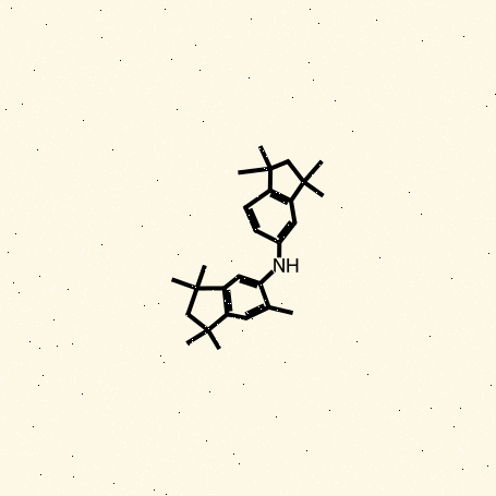 Cc1cc2c(cc1Nc1ccc3c(c1)C(C)(C)CC3(C)C)C(C)(C)CC2(C)C